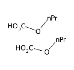 CCCOC(=O)O.CCCOC(=O)O